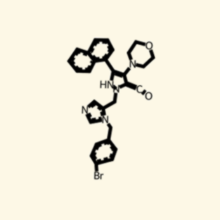 O=C=C1C(N2CCOCC2)=C(c2cccc3ccccc23)NN1Cc1cncn1Cc1ccc(Br)cc1